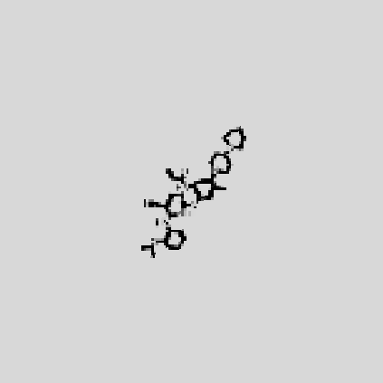 C=CC(=O)Nc1cc(N2CCC(N3CCCCC3)CC2)c(C)cc1NC1=NC=C(C#N)C(NC2=C(OC(C)C)CCC=C2)N1